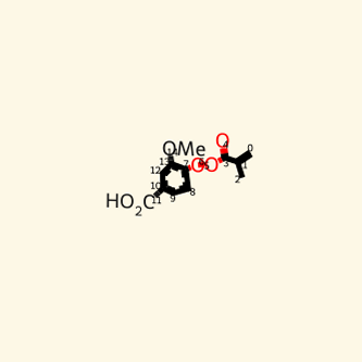 C=C(C)C(=O)OOc1ccc(C(=O)O)cc1OC